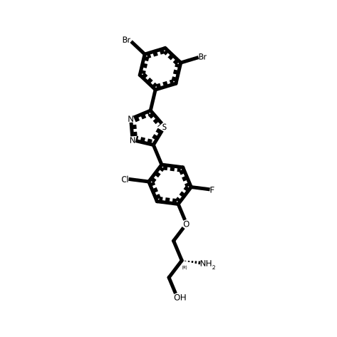 N[C@H](CO)COc1cc(Cl)c(-c2nnc(-c3cc(Br)cc(Br)c3)s2)cc1F